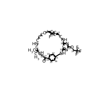 CC1(C)CNCCCOc2ccc(cc2F)CNc2cc(nc(OCC(F)(F)F)n2)Nc2ccc(cc2)C(=O)NC1